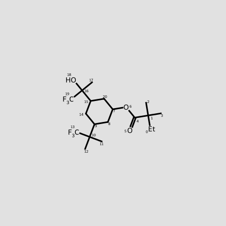 CCC(C)(C)C(=O)OC1CC(C(C)(C)C(F)(F)F)CC(C(C)(O)C(F)(F)F)C1